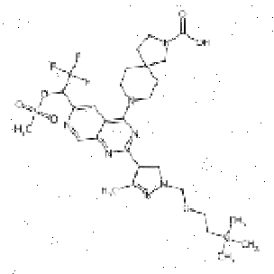 Cc1nn(COCC[Si](C)(C)C)cc1-c1nc(N2CCC3(CCN(C(=O)O)C3)CC2)c2cc(C(OS(C)(=O)=O)C(F)(F)F)ncc2n1